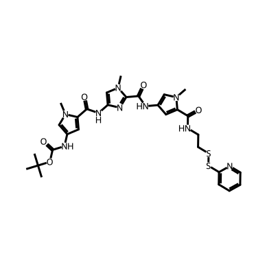 Cn1cc(NC(=O)c2nc(NC(=O)c3cc(NC(=O)OC(C)(C)C)cn3C)cn2C)cc1C(=O)NCCSSc1ccccn1